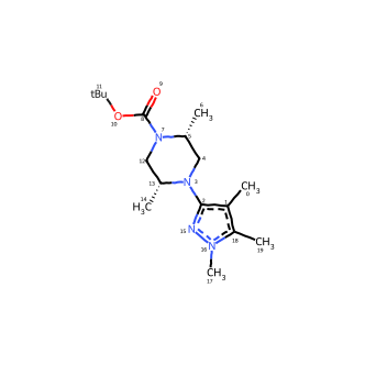 Cc1c(N2C[C@@H](C)N(C(=O)OC(C)(C)C)C[C@H]2C)nn(C)c1C